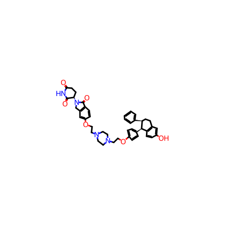 O=C1CC[C@H](N2Cc3cc(OCCN4CCN(CCOc5ccc([C@@H]6c7ccc(O)cc7CC[C@@H]6c6ccccc6)cc5)CC4)ccc3C2=O)C(=O)N1